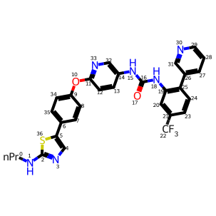 CCCNc1ncc(-c2ccc(Oc3ccc(NC(=O)Nc4cc(C(F)(F)F)ccc4-c4cccnc4)cn3)cc2)s1